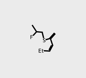 C=C(/C=C\CC)SCC(C)F